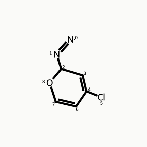 [N]=NC1C=C(Cl)C=CO1